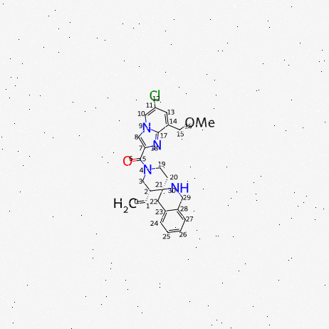 C=C[C@@H]1CN(C(=O)c2cn3cc(Cl)cc(COC)c3n2)CC[C@]12Cc1ccccc1CN2